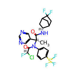 C[C@@](C(=O)N[C@@H]1CC2CC1CC2(F)F)(c1cncnc1)N(C(=O)[C@H](F)Cl)c1ccc(S(F)(F)F)cc1